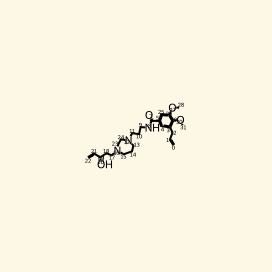 C=CCc1cc(C(=O)NCCCN2CCCN(CC[C@H](O)C=C)CC2)cc(OC)c1OC